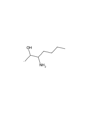 [CH2]C(O)C(N)CCCC